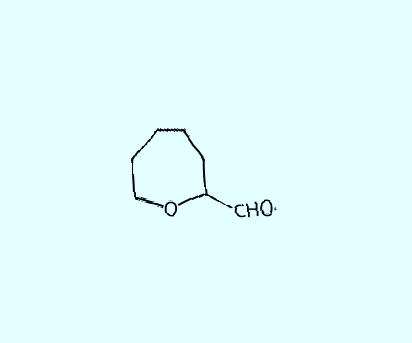 O=[C]C1CCCCCO1